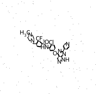 CN1CCN(Cc2ccc(C(=O)Nc3cc(Oc4nc(-c5ccncc5)nc5[nH]ncc45)ccc3Cl)cc2C(F)(F)F)CC1